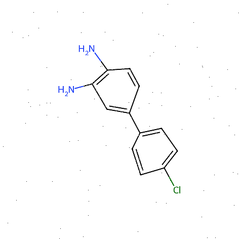 Nc1ccc(-c2ccc(Cl)cc2)cc1N